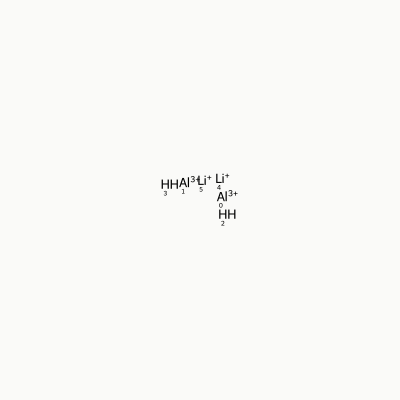 [Al+3].[Al+3].[HH].[HH].[Li+].[Li+]